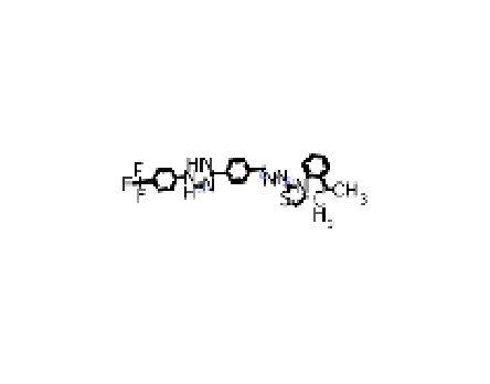 CC(C)c1ccccc1N1CCS/C1=N\N=C\c1ccc(C(=N)/N=C\Nc2ccc(C(F)(F)F)cc2)cc1